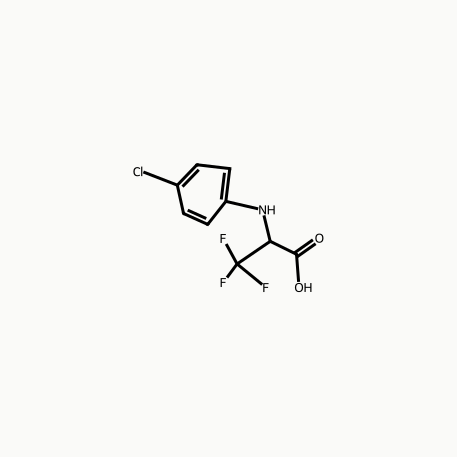 O=C(O)C(Nc1ccc(Cl)cc1)C(F)(F)F